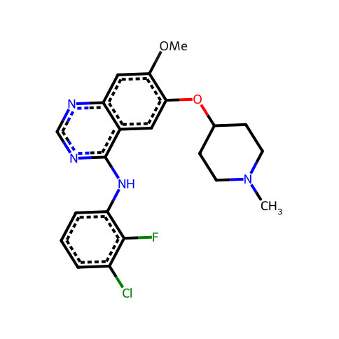 COc1cc2ncnc(Nc3cccc(Cl)c3F)c2cc1OC1CCN(C)CC1